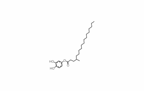 CCCCCCCCCCCCCCC(C)CCC(=O)Oc1ccc(O)c(O)c1